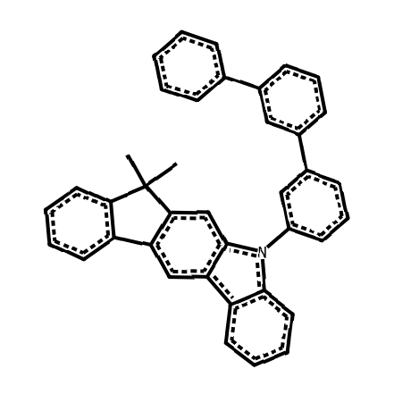 CC1(C)c2ccccc2-c2cc3c4ccccc4n(-c4cccc(-c5cccc(-c6ccccc6)c5)c4)c3cc21